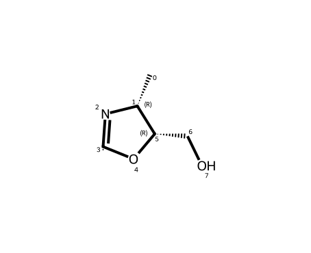 C[C@H]1N=[C]O[C@H]1CO